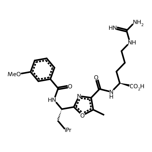 COc1cccc(C(=O)N[C@@H](CC(C)C)c2nc(C(=O)N[C@@H](CCCNC(=N)N)C(=O)O)c(C)o2)c1